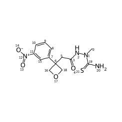 CN(NC(=O)CC1(c2cccc([N+](=O)[O-])c2)COC1)C(N)=S